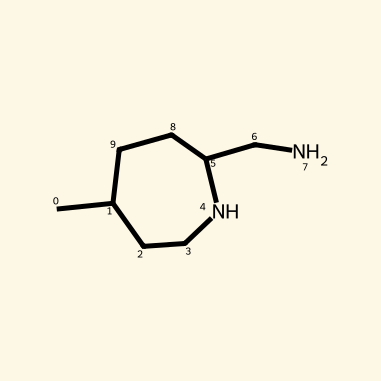 CC1CCNC(CN)CC1